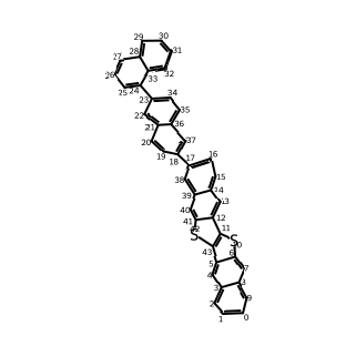 c1ccc2cc3c(cc2c1)sc1c2cc4ccc(-c5ccc6cc(-c7cccc8ccccc78)ccc6c5)cc4cc2sc31